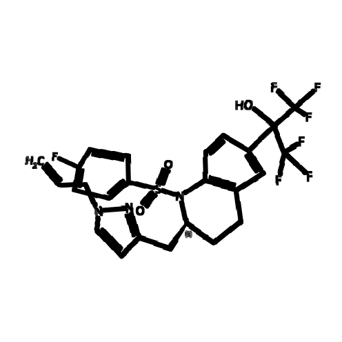 C=CCn1ccc(C[C@@H]2CCc3cc(C(O)(C(F)(F)F)C(F)(F)F)ccc3N2S(=O)(=O)c2ccc(F)cc2)n1